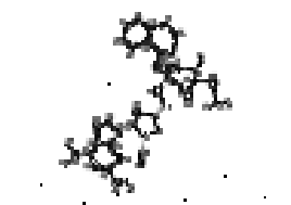 C#C[C@H]1C[C@@H](CO[P@@](=S)(N[C@@H](C)C(=O)OC(C)C)Oc2cccc3ccccc23)O[C@H]1n1cnc2c(N(C)C)nc(N)nc21